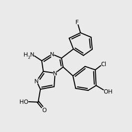 Nc1nc(-c2cccc(F)c2)c(-c2ccc(O)c(Cl)c2)n2cc(C(=O)O)nc12